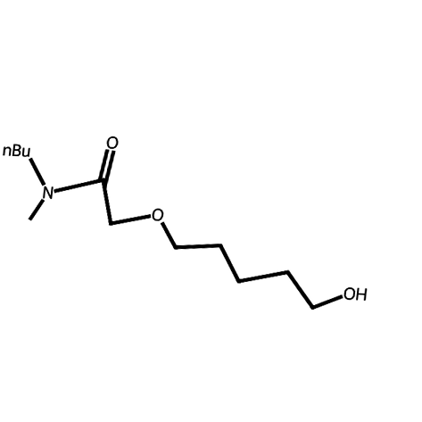 CCCCN(C)C(=O)COCCCCCO